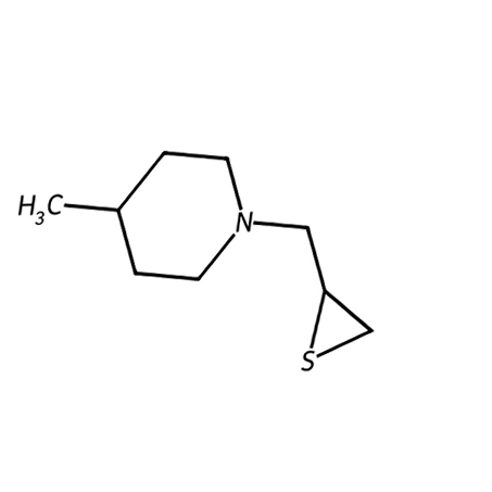 CC1CCN(CC2CS2)CC1